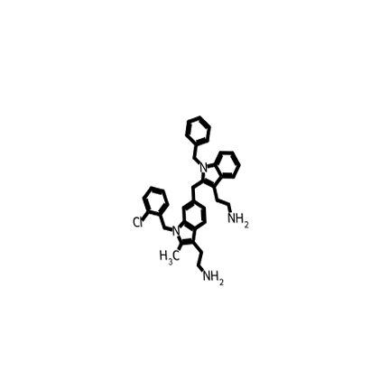 Cc1c(CCN)c2ccc(Cc3c(CCN)c4ccccc4n3Cc3ccccc3)cc2n1Cc1ccccc1Cl